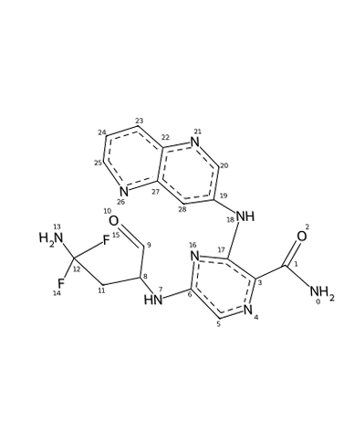 NC(=O)c1ncc(NC(C=O)CC(N)(F)F)nc1Nc1cnc2cccnc2c1